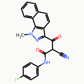 Cn1nc(C(=O)C(C#N)C(=O)Nc2ccc(F)cc2)c2ccc3ccccc3c21